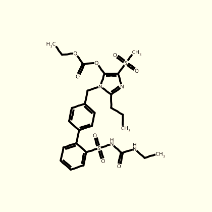 CCCc1nc(S(C)(=O)=O)c(OC(=O)OCC)n1Cc1ccc(-c2ccccc2S(=O)(=O)NC(=O)NCC)cc1